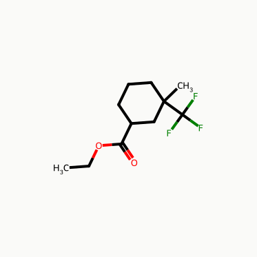 CCOC(=O)C1CCCC(C)(C(F)(F)F)C1